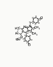 CC(=O)C(OC(C)(C)C)c1c(C)nc2c(c(C)c(C)n2Cc2ccc(Cl)cc2)c1-c1ccc(Cl)cc1